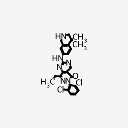 CCc1nn(-c2c(Cl)cccc2Cl)c(=O)c2cnc(Nc3ccc4c(c3)CNCC4(C)C)nc12